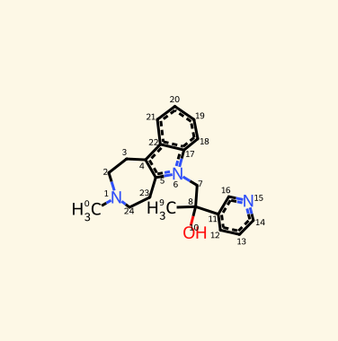 CN1CCc2c(n(CC(C)(O)c3cccnc3)c3ccccc23)CC1